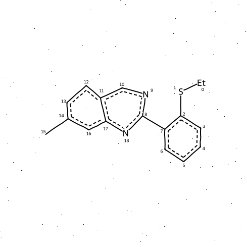 CCSc1ccccc1-c1ncc2ccc(C)cc2n1